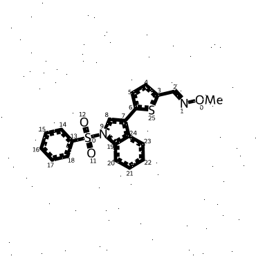 CON=Cc1ccc(-c2cn(S(=O)(=O)c3ccccc3)c3ccccc23)s1